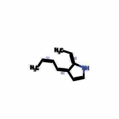 C\C=C/C=c1/cc[nH]/c1=C/C